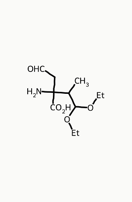 CCOC(OCC)C(C)C(N)(CC=O)C(=O)O